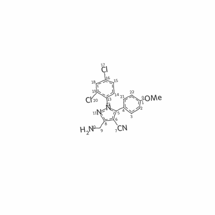 COc1ccc(-c2c(C#N)c(CN)nn2-c2ccc(Cl)cc2Cl)cc1